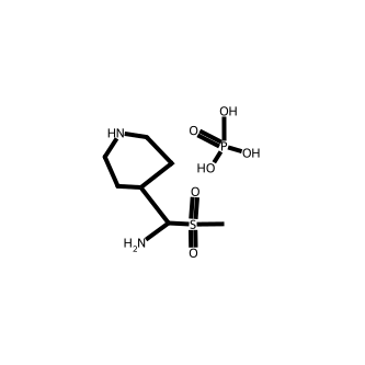 CS(=O)(=O)C(N)C1CCNCC1.O=P(O)(O)O